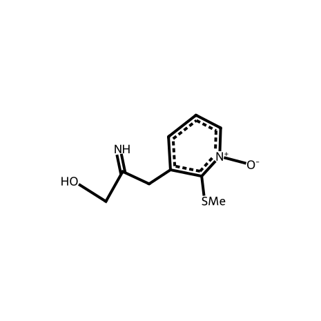 CSc1c(CC(=N)CO)ccc[n+]1[O-]